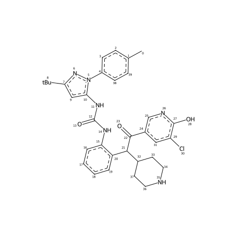 Cc1ccc(-n2nc(C(C)(C)C)cc2NC(=O)Nc2ccccc2C(C(=O)c2cnc(O)c(Cl)c2)C2CCNCC2)cc1